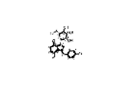 CCc1ccc(Cc2cn([C@@H]3O[C@H](CO)[C@@H](O)[C@H](O)[C@H]3O)c3c(Cl)ccc(C)c23)cc1